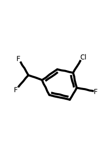 Fc1ccc(C(F)F)cc1Cl